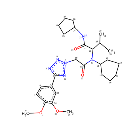 COc1ccc(-c2nnn(CC(=O)N(C3CCCCC3)C(C(=O)NC3CCCC3)C(C)C)n2)cc1OC